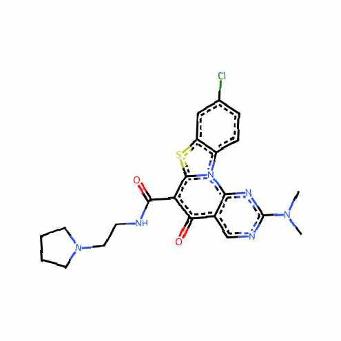 CN(C)c1ncc2c(=O)c(C(=O)NCCN3CCCC3)c3sc4cc(Cl)ccc4n3c2n1